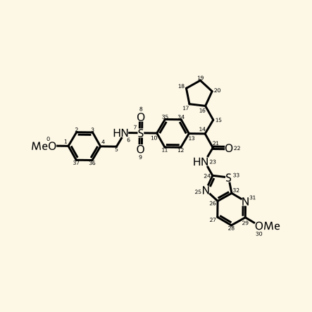 COc1ccc(CNS(=O)(=O)c2ccc(C(CC3CCCC3)C(=O)Nc3nc4ccc(OC)nc4s3)cc2)cc1